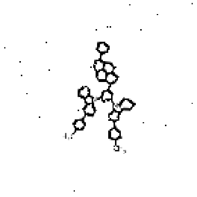 Cc1ccc(-c2ccc3c(c2)c2ccccc2n3-c2cc(-c3ccc4ccc5c(-c6ccccc6)ccc6ccc3c4c65)cc(-n3c4ccccc4c4cc(-c5ccc(C)cc5)ccc43)c2)cc1